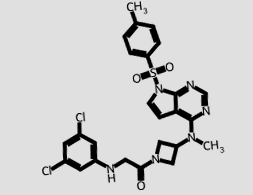 Cc1ccc(S(=O)(=O)n2ccc3c(N(C)C4CN(C(=O)CNc5cc(Cl)cc(Cl)c5)C4)ncnc32)cc1